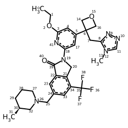 CCOc1cc(C2(Cc3nncn3C)COC2)cc(N2Cc3c(cc(CN4CCC[C@H](C)C4)cc3C(F)(F)F)C2=O)n1